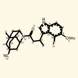 COc1ccc2[nH]cc(C(C)CC(=O)N3C4CC5(C)CC3CC(C#N)(C4)C5)c2c1F